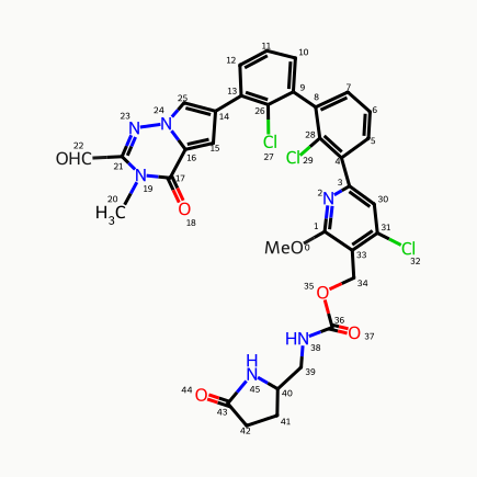 COc1nc(-c2cccc(-c3cccc(-c4cc5c(=O)n(C)c(C=O)nn5c4)c3Cl)c2Cl)cc(Cl)c1COC(=O)NCC1CCC(=O)N1